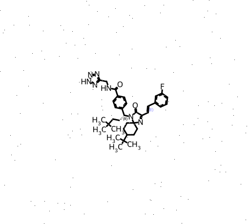 CC(C)(C)CC[C@H](c1ccc(C(=O)NCc2nn[nH]n2)cc1)N1C(=O)C(/C=C/c2cccc(F)c2)=NC12CCC(C(C)(C)C)CC2